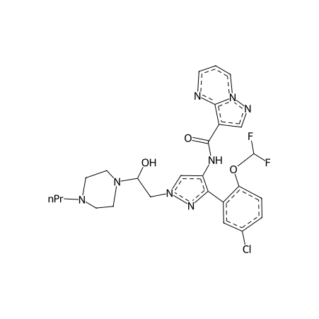 CCCN1CCN(C(O)Cn2cc(NC(=O)c3cnn4cccnc34)c(-c3cc(Cl)ccc3OC(F)F)n2)CC1